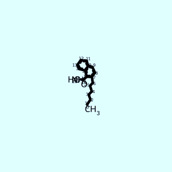 CCCCCCCc1ccc2ccccc2c1C(=O)O.N